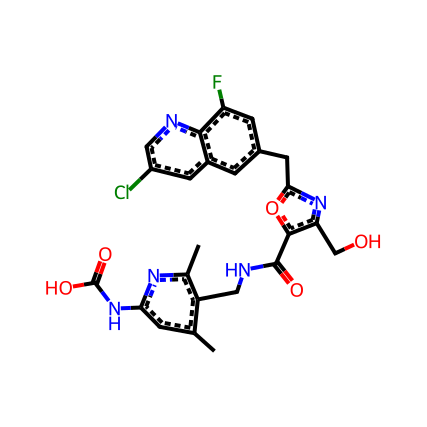 Cc1cc(NC(=O)O)nc(C)c1CNC(=O)c1oc(Cc2cc(F)c3ncc(Cl)cc3c2)nc1CO